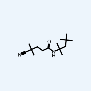 CC(C)(C)CC(C)(C)NC(=O)CCC(C)(C)C#N